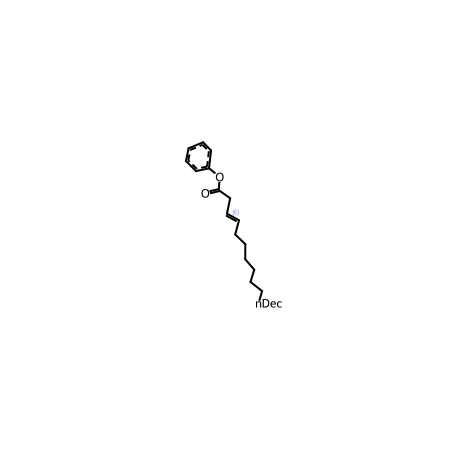 CCCCCCCCCCCCCCCC/C=C/CC(=O)Oc1ccccc1